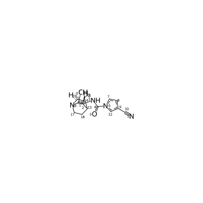 C[C@H]1[C@H](NC(=O)n2ccc(C#N)c2)C2CCN1CC2